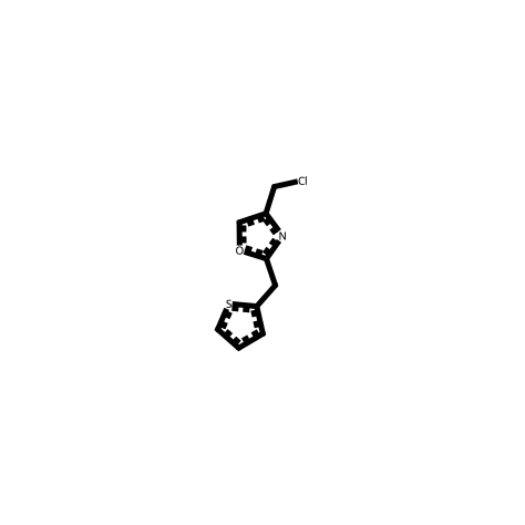 ClCc1coc(Cc2cccs2)n1